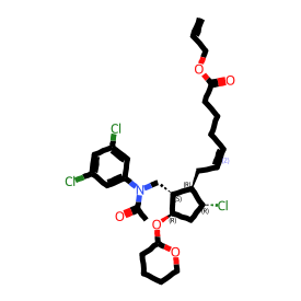 C=CCOC(=O)CCC/C=C\C[C@@H]1[C@@H](CN(C(C)=O)c2cc(Cl)cc(Cl)c2)[C@H](OC2CCCCO2)C[C@H]1Cl